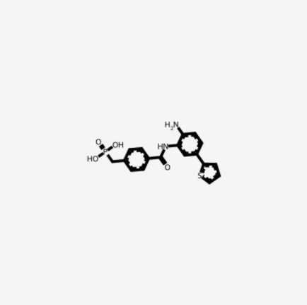 Nc1ccc(-c2cccs2)cc1NC(=O)c1ccc(CP(=O)(O)O)cc1